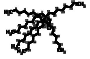 CCCCCCCC[PH](CCCCCCCC)(CCCCCCCC)P(CC)(CCCCCCCC)(CCCCCCCC)CCCCCCCC